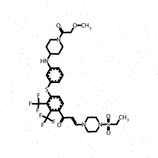 CCS(=O)(=O)N1CCN(C=CC(=O)c2ccc(Sc3cccc(NC4CCN(C(=O)COC)CC4)c3)c(C(F)(F)F)c2C(F)(F)F)CC1